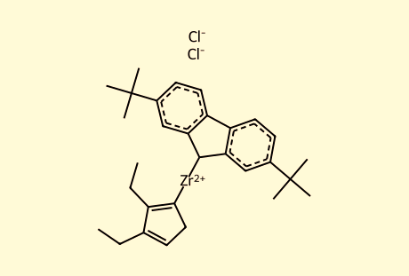 CCC1=CC[C]([Zr+2][CH]2c3cc(C(C)(C)C)ccc3-c3ccc(C(C)(C)C)cc32)=C1CC.[Cl-].[Cl-]